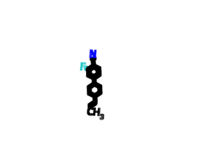 CC=CC1CCC(c2ccc(C#N)c(F)c2)CC1